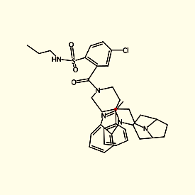 CCCNS(=O)(=O)c1ccc(Cl)cc1C(=O)N1CCC(CCN2C3CCC2CC(n2c(C)nc4ccccc42)C3)(c2ccccc2)CC1